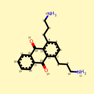 NCCCc1ccc(CCCN)c2c1C(=O)c1ccccc1C2=O